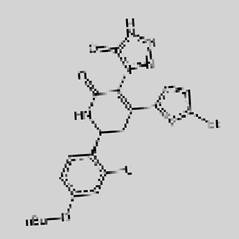 CCCCOc1ccc([C@@H]2CC(c3ccc(CC)s3)=C(n3nn[nH]c3=O)C(=O)N2)c(Cl)c1